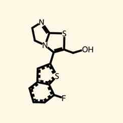 OCC1=C(c2cc3cccc(F)c3s2)N2CCN=C2S1